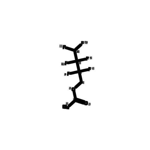 CC(C)(C)C(=O)OCC(F)(F)C(F)(F)C(F)F